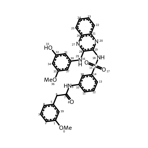 COc1cccc(CC(=O)Nc2cccc(S(=O)(=O)Nc3nc4ccccc4nc3Nc3cc(O)cc(OC)c3)c2)c1